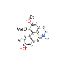 CCOc1cc2c3c(c1OC)-c1cc(C)c(O)cc1CC3N(C)CC2